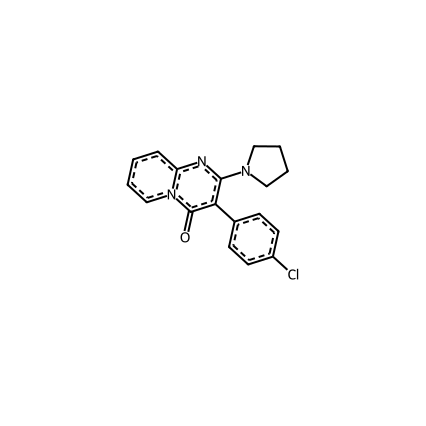 O=c1c(-c2ccc(Cl)cc2)c(N2CCCC2)nc2ccccn12